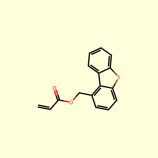 C=CC(=O)OCc1cccc2sc3ccccc3c12